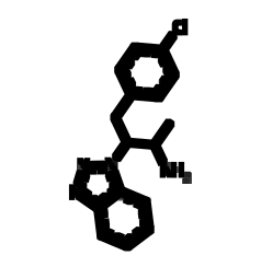 CC(N)C(Cc1ccc(Cl)cc1)n1nnc2ccccc21